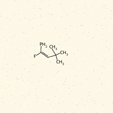 CC(C)(C)/C=C(/F)P